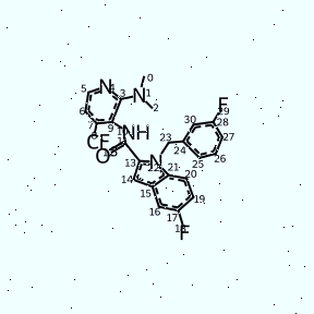 CN(C)c1nccc(C(F)(F)F)c1NC(=O)c1cc2cc(F)ccc2n1Cc1cccc(F)c1